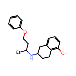 CCC(CCOc1ccccc1)NC1CCc2c(O)cccc2C1